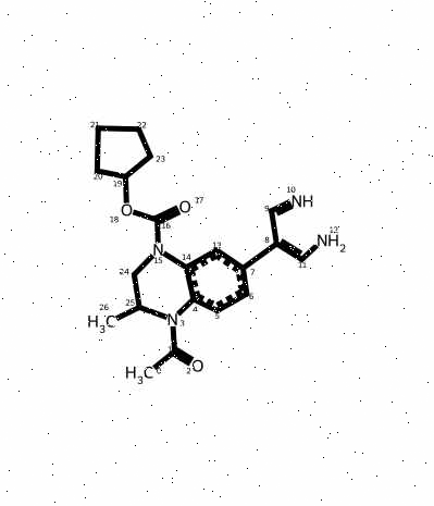 CC(=O)N1c2ccc(/C(C=N)=C/N)cc2N(C(=O)OC2CCCC2)CC1C